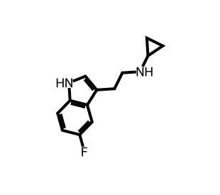 Fc1ccc2[nH]cc(CCNC3CC3)c2c1